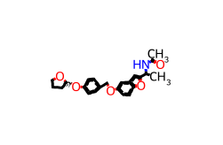 CC(=O)NC(C)c1cc2cc(OCc3ccc(OC[C@@H]4CCCO4)cc3)ccc2o1